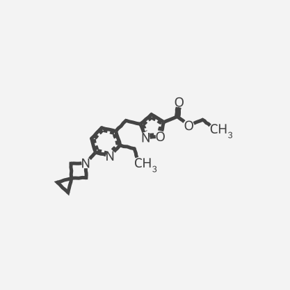 CCOC(=O)c1cc(Cc2ccc(N3CC4(CC4)C3)nc2CC)no1